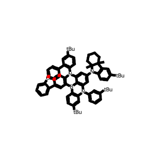 CC(C)(C)c1cccc(N2c3cc(C(C)(C)C)ccc3B3c4cc5c(cc4N(c4ccc(C(C)(C)C)cc4-c4ccccc4)c4cc(N6c7ccc(C(C)(C)C)cc7C7(C)CCCCC67C)cc2c43)oc2ccccc25)c1